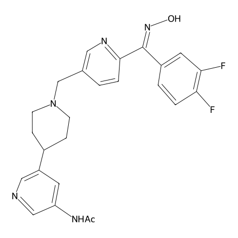 CC(=O)Nc1cncc(C2CCN(Cc3ccc(/C(=N/O)c4ccc(F)c(F)c4)nc3)CC2)c1